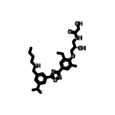 CCCCNCc1cc(-c2nc(-c3cc(C)c(OC[C@@H](O)CNC(=O)CO)c(CC)c3)no2)cc(C(C)C)c1